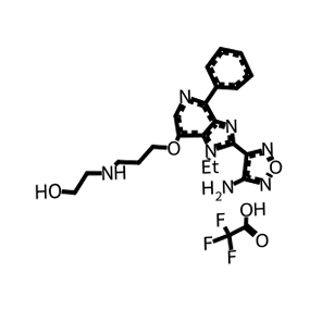 CCn1c(-c2nonc2N)nc2c(-c3ccccc3)ncc(OCCCNCCO)c21.O=C(O)C(F)(F)F